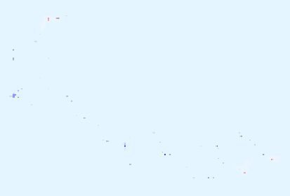 CCOc1ccc2[nH]cc(CCCCN3CCN(c4ccc5oc(=O)ccc5c4)CC3)c2c1